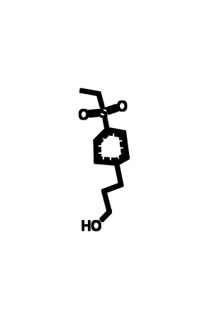 CCS(=O)(=O)c1ccc(CCCO)cc1